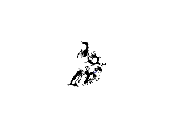 C=CC(=O)N1CCC(NC(=C)/N=C2\CNC=C2C(=O)N2CCC2)CC1